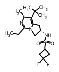 CCC1=N[C@@H](C)C(C(C)(C)C)=C2C[C@H](NS(=O)(=O)C3CC(F)(F)C3)CN12